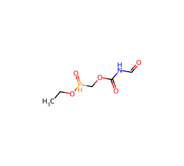 CCO[PH](=O)COC(=O)NC=O